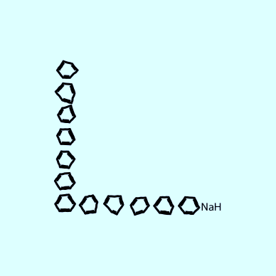 [NaH].c1ccccc1.c1ccccc1.c1ccccc1.c1ccccc1.c1ccccc1.c1ccccc1.c1ccccc1.c1ccccc1.c1ccccc1.c1ccccc1.c1ccccc1.c1ccccc1